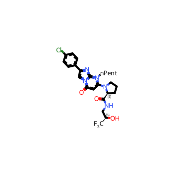 CCCCCn1c(N2CCC[C@H]2C(=O)NC[C@H](O)C(F)(F)F)cc(=O)n2cc(-c3ccc(Cl)cc3)nc12